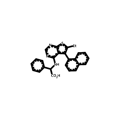 CCc1sc2ncnc(NC(C(=O)O)c3ccccc3)c2c1-c1cccc2ccccc12